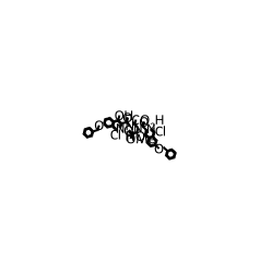 COC(=O)CN(C(=O)c1nc(Cl)c2cc(OCc3ccccc3)ccc2c1O)C(NC(=O)c1nc(Cl)c2cc(OCc3ccccc3)ccc2c1O)C(=O)O